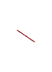 CCCCCC=CCC=CCCCCCCCC[CH]CCCCCCCCC=CCC=CCCCCC